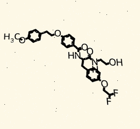 COc1ccc(CCOc2ccc(C(=O)NC(Cc3ccc(OCC(F)F)cc3)C(=O)NCCO)cc2)cc1